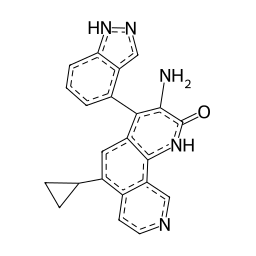 Nc1c(-c2cccc3[nH]ncc23)c2cc(C3CC3)c3ccncc3c2[nH]c1=O